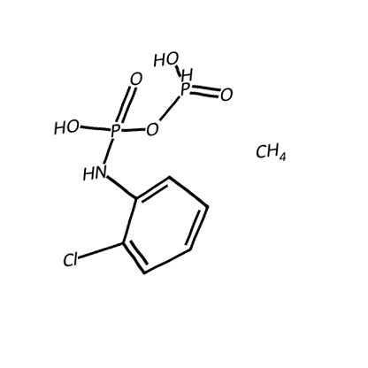 C.O=[PH](O)OP(=O)(O)Nc1ccccc1Cl